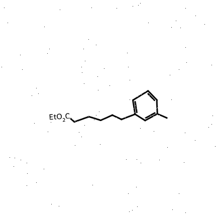 CCOC(=O)CCCCCc1cccc(C)c1